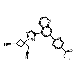 N#CC[C@]1(n2ncc(-c3cc(-c4ccc(C(N)=O)cn4)cc4ncccc34)n2)C[C@@H](C#N)C1